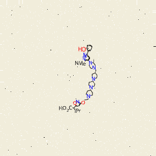 CNc1nnc(-c2ccccc2O)cc1N1CCN(CC2CCN(C3CCN(C4CCN(CCOc5cc(C(C(=O)O)C(C)C)on5)CC4)CC3)CC2)C[C@@H]1C